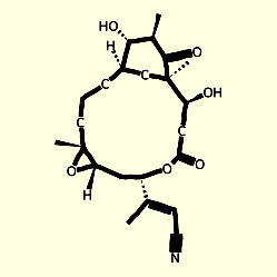 C/C(=C\C#N)[C@@H]1C[C@@H]2O[C@]2(C)CCC[C@@H]2C[C@@](C)(C(=O)[C@H](C)[C@H]2O)[C@@H](O)CC(=O)O1